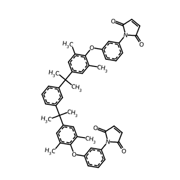 Cc1cc(C(C)(C)c2cccc(C(C)(C)c3cc(C)c(Oc4cccc(N5C(=O)C=CC5=O)c4)c(C)c3)c2)cc(C)c1Oc1cccc(N2C(=O)C=CC2=O)c1